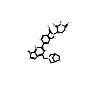 Cn1ccc2c(CN3CC4CCC(C4)C3)cc(-c3ccc4c(c3)CN(C3CCC(=O)NC3=O)C4=O)nc21